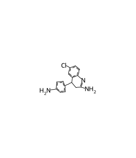 NC1=Nc2ccc(Cl)cc2C(c2ccc(N)cc2)C1